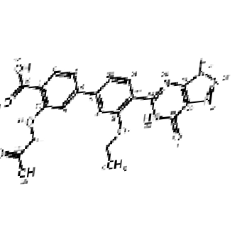 CCOc1cc(-c2ccc(C(=O)O)c(OCC(=O)O)c2)ccc1-c1nc2[nH]nnc2c(=O)[nH]1